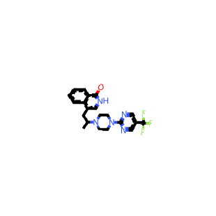 CC(Cc1c[nH]c(=O)c2ccccc12)N1CCN(c2ncc(C(F)(F)F)cn2)CC1